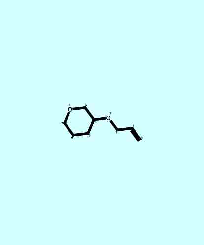 C=CCOC1CC[C]OC1